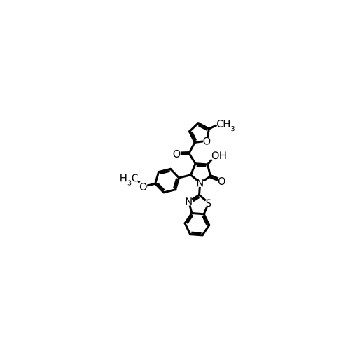 COc1ccc(C2C(C(=O)c3ccc(C)o3)=C(O)C(=O)N2c2nc3ccccc3s2)cc1